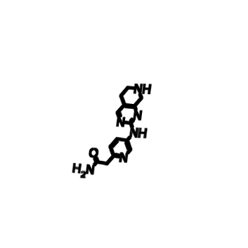 NC(=O)Cc1ccc(Nc2ncc3c(n2)CNCC3)cn1